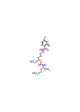 C[C@H](CCC(=O)O)NC(=O)O[C@@H](CCCCNC(=O)c1ccc(I)cc1F)C(=O)O